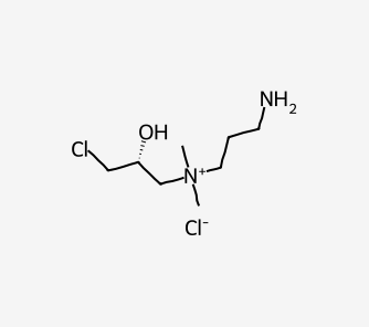 C[N+](C)(CCCN)C[C@@H](O)CCl.[Cl-]